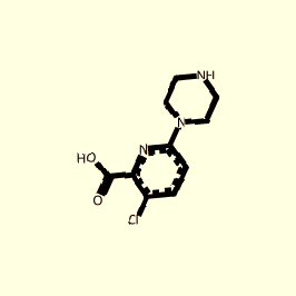 O=C(O)c1nc(N2CCNCC2)ccc1Cl